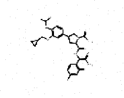 CC(=O)N1CC(c2ccc(OC(F)F)c(OCC3CC3)c2)CC1C(=O)NC(C(N)=O)c1ccc(F)cc1F